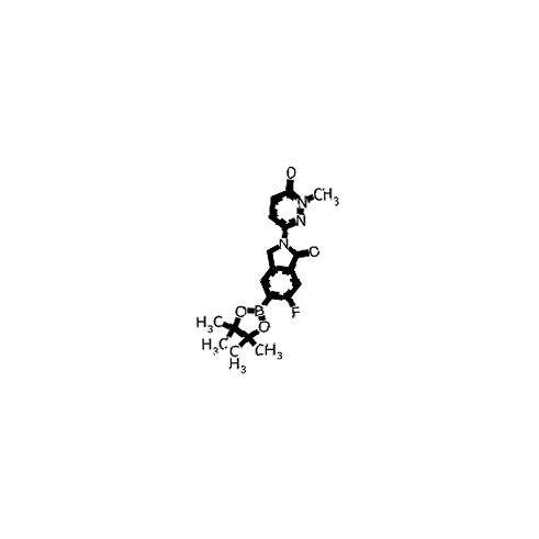 Cn1nc(N2Cc3cc(B4OC(C)(C)C(C)(C)O4)c(F)cc3C2=O)ccc1=O